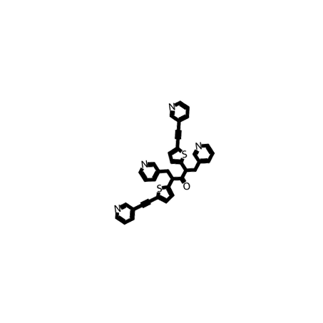 O=C(C(Cc1cccnc1)c1ccc(C#Cc2cccnc2)s1)C(Cc1cccnc1)c1ccc(C#Cc2cccnc2)s1